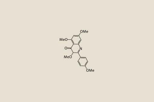 COc1ccc(C2=Nc3cc(OC)cc(OC)c3C(=O)C2OC)cc1